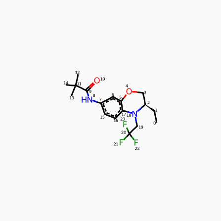 CC[C@@H]1COc2cc(NC(=O)C(C)(C)C)ccc2N1CC(F)(F)F